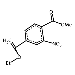 C=C(OCC)c1ccc(C(=O)OC)c([N+](=O)[O-])c1